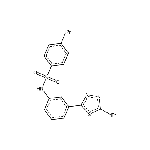 CC(C)c1ccc(S(=O)(=O)Nc2cccc(-c3nnc(C(C)C)s3)c2)cc1